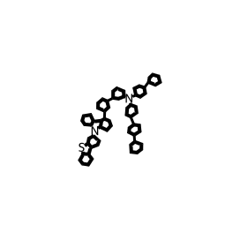 c1ccc(-c2ccc(-c3ccc(N(c4ccc(-c5ccccc5)cc4)c4cccc(-c5cccc(-c6cccc7c6c6ccccc6n7-c6ccc7c(c6)sc6ccccc67)c5)c4)cc3)cc2)cc1